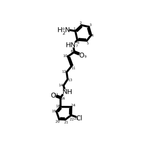 Nc1ccccc1NC(=O)/C=C/CCCNC(=O)c1cccc(Cl)c1